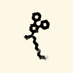 CN(CCCCOCC(=O)O)c1cnc(-c2ccccc2)c(-c2ccccc2)n1